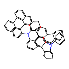 c1ccc(-c2cccc3cccc(-c4ccccc4N(c4ccccc4-c4ccc5c6ccccc6n(-c6ccccc6)c5c4)c4ccccc4-c4cccc5c4ccc4ccccc45)c23)cc1